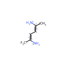 C/C(N)=C/C=C(\N)C(F)(F)F